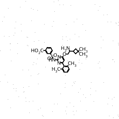 Cc1cccc(C)c1-c1cc(OCC(N)C2CC(C)(C)C2)nc(NS(=O)(=O)c2cccc(C(=O)O)c2)n1